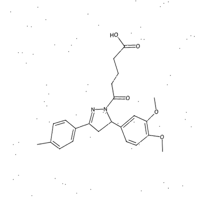 COc1ccc(C2CC(c3ccc(C)cc3)=NN2C(=O)CCCC(=O)O)cc1OC